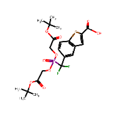 CC(C)(C)OC(=O)COP(=O)(OCC(=O)OC(C)(C)C)C(F)(F)c1ccc2sc(C(=O)O)cc2c1